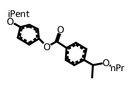 CCCOC(C)c1ccc(C(=O)Oc2ccc(OC(C)CCC)cc2)cc1